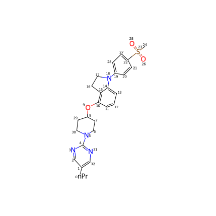 CCCc1cnc(N2CCC(Oc3cccc4c3CCN4c3ccc(S(C)(=O)=O)cc3)CC2)nc1